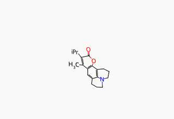 Cc1c(C(C)C)c(=O)oc2c3c4c(cc12)CCCN4CCC3